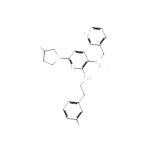 O=CN(Cc1cccnc1)c1ccc(N2CCC(C(F)(F)F)C2)nc1NCCc1cccc(F)c1